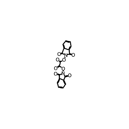 O=C(ON1C(=O)c2ccccc2C1=O)C(=O)ON1C(=O)c2ccccc2C1=O